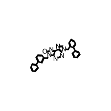 O=c1nc2c3ncn(Cc4ccccc4-c4ccccc4)c3ncnc-2n1Cc1cccc(-c2ccccc2)c1